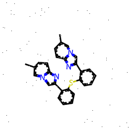 Cc1ccc2nc(-c3ccccc3Sc3ccccc3-c3cn4cc(C)ccc4n3)cn2c1